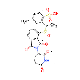 Cc1ccc(S(=O)(=O)O)c(C(C)[S+]([O-])c2cccc3c2C(=O)N(C2CCC(=O)NC2=O)C3=O)c1